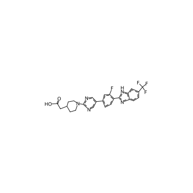 O=C(O)CC1CCN(c2ncc(-c3ccc(-c4nc5ccc(C(F)(F)F)cc5[nH]4)c(F)c3)cn2)CC1